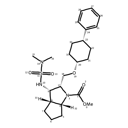 COC(=O)N1[C@@H]2CCC[C@@H]2[C@H](NS(=O)(=O)N(C)C)[C@@H]1CO[C@H]1CC[C@@H](c2ccccc2)CC1